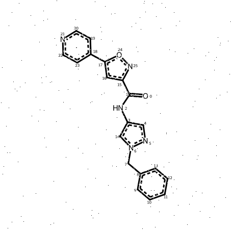 O=C(Nc1cnn(Cc2ccccc2)c1)c1cc(-c2ccncc2)on1